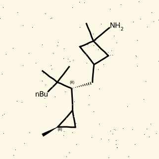 CCCCC(C)(C)[C@H](CC1CC(C)(N)C1)C1C[C@H]1C